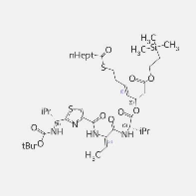 C/C=C(\NC(=O)c1csc([C@H](NC(=O)OC(C)(C)C)C(C)C)n1)C(=O)N[C@H](C(=O)O[C@H](/C=C/CCSC(=O)CCCCCCC)CC(=O)OCC[Si](C)(C)C)C(C)C